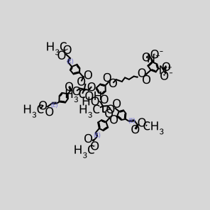 COC(=O)/C=C/c1ccc(C(=O)OCC(C)(COC(=O)c2ccc(/C=C/C(=O)OC)cc2)C(O)Oc2cc(OC(O)C(C)(COC(=O)c3ccc(/C=C/C(=O)OC)cc3)COC(=O)c3ccc(/C=C/C(=O)OC)cc3)cc(C(=O)OCCCCCCOC(=O)c3cc([N+](=O)[O-])cc([N+](=O)[O-])c3)c2)cc1